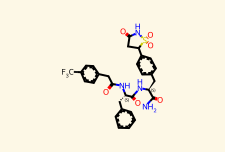 NC(=O)[C@H](Cc1ccc(C2CC(=O)NS2(=O)=O)cc1)NC(=O)[C@H](Cc1ccccc1)NC(=O)Cc1ccc(C(F)(F)F)cc1